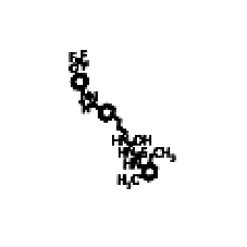 CCc1cccc(C)c1NC(=S)NC(O)NCCCc1ccc(-c2ncn(-c3ccc(OC(F)(F)F)cc3)n2)cc1